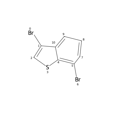 Brc1csc2c(Br)cccc12